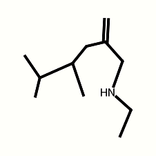 C=C(CNCC)CC(C)C(C)C